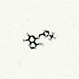 [2H]C([2H])([2H])n1cnc(COc2cc(F)c(Br)c3ncnc(N)c23)n1